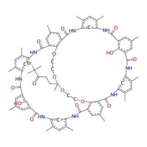 Cc1cc2c(O)c(c1)C(=O)Nc1cc(c(C)cc1C)NC(=O)c1cc(C)cc3c1OCCOC(C)(CCC(=O)C(C)(C)Br)OCCOc1c(cc(C)cc1C(=O)Nc1cc(c(C)cc1C)NC(=O)c1cc(C)cc(c1O)C(=O)Nc1cc(c(C)cc1C)NC3=O)C(=O)Nc1cc(c(C)cc1C)NC2=O